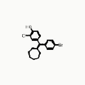 Oc1ccc(C(=C2CCCCCC2)c2ccc(Br)cc2)cc1Cl